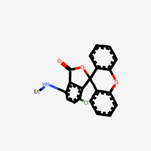 CCNc1ccc(Cl)c2c1C(=O)OC21c2ccccc2Oc2ccccc21